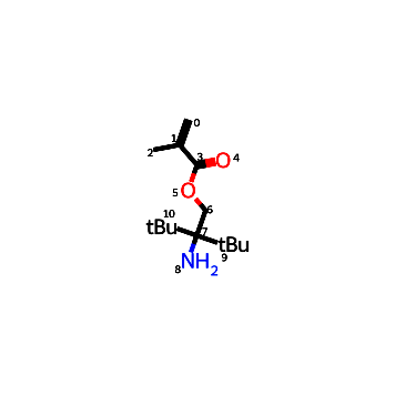 C=C(C)C(=O)OCC(N)(C(C)(C)C)C(C)(C)C